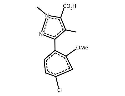 COc1cc(Cl)ccc1-c1nn(C)c(C(=O)O)c1C